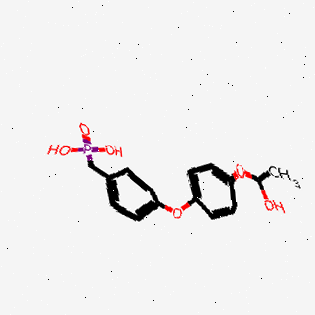 CC(O)Oc1ccc(Oc2ccc(CP(=O)(O)O)cc2)cc1